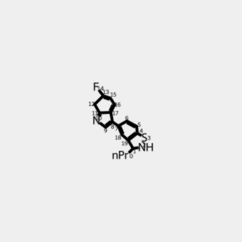 CCCC1NSc2ccc(C3=CN=C4CC(F)=CC=C34)cc21